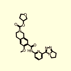 COc1cc2c(cc1C(=O)Nc1cccc(-c3nnc4n3CCC4)n1)CN(C(=O)OC1CCOC1)CC2